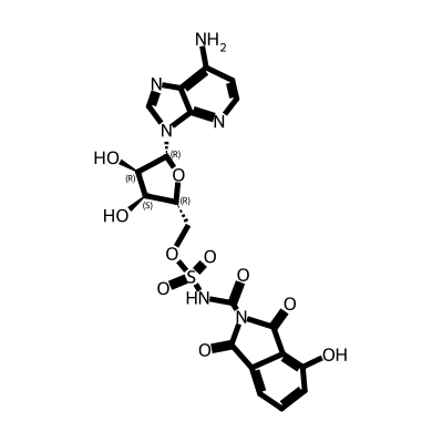 Nc1ccnc2c1ncn2[C@@H]1O[C@H](COS(=O)(=O)NC(=O)N2C(=O)c3cccc(O)c3C2=O)[C@@H](O)[C@H]1O